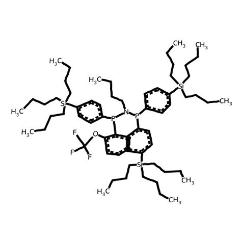 CCCCN(P(c1ccc([Si](CCCC)(CCCC)CCCC)cc1)c1ccc([Si](CCCC)(CCCC)CCCC)cc1)P(c1ccc([Si](CCCC)(CCCC)CCCC)cc1)c1ccccc1OC(F)(F)F